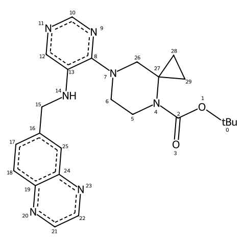 CC(C)(C)OC(=O)N1CCN(c2ncncc2NCc2ccc3nccnc3c2)CC12CC2